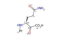 CC(C)N[C@@H](CCC(N)=O)C(=O)C(=O)O